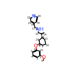 COc1cccc(O[C@@H]2CCC[C@H](C(C)CNCc3ccncc3)C2)c1